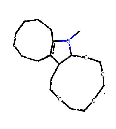 CN1C2=C(CCCCCCC2)C2CCCCCCCCCCC21